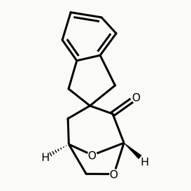 O=C1[C@@H]2OC[C@@H](CC13Cc1ccccc1C3)O2